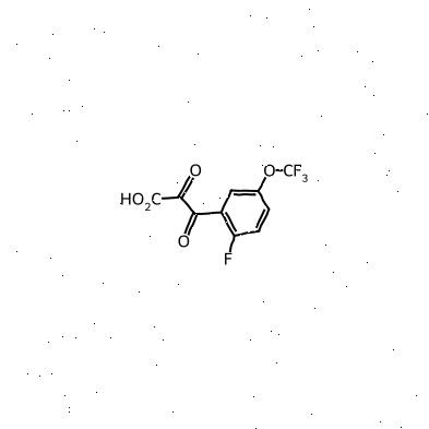 O=C(O)C(=O)C(=O)c1cc(OC(F)(F)F)ccc1F